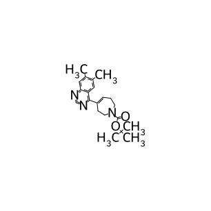 Cc1cc2ncnc(C3=CCCN(C(=O)OC(C)(C)C)CC3)c2cc1C